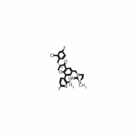 Cc1nc(F)ccc1-c1cc(Cn2ccn(C)c2=N)cc2c1OC[C@H](Cc1ccc(F)cc1Cl)C2=O